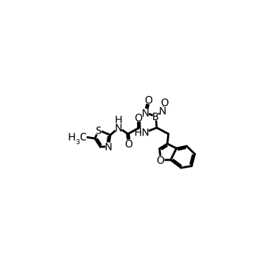 Cc1cnc(NC(=O)C(=O)NC(Cc2coc3ccccc23)B(N=O)N=O)s1